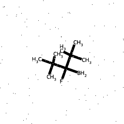 BC(F)(C(C)(C)C)C(C)(C)C